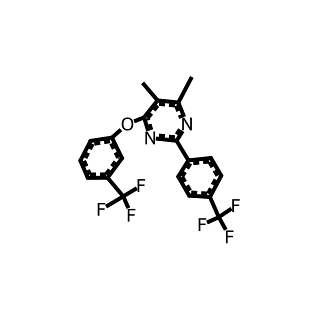 Cc1nc(-c2ccc(C(F)(F)F)cc2)nc(Oc2cccc(C(F)(F)F)c2)c1C